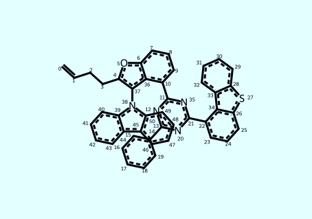 C=CCCc1oc2cccc(-c3nc(-c4ccccc4)nc(-c4cccc5sc6ccccc6c45)n3)c2c1-n1c2ccccc2c2ccccc21